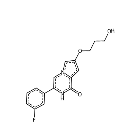 O=c1[nH]c(-c2cccc(F)c2)cn2cc(OCCCO)cc12